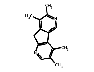 Cc1cnc2c(c1C)-c1cnc(C)c(C)c1C2